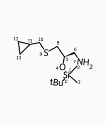 CC(C)(C)[Si](C)(C)O[C@H](CN)CSCC1CC1